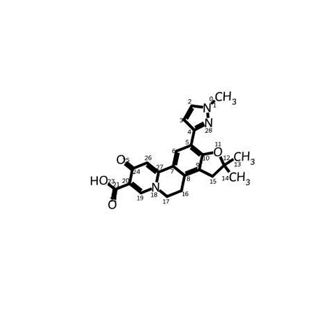 Cn1ccc(-c2cc3c(c4c2OC(C)(C)C4)CCn2cc(C(=O)O)c(=O)cc2-3)n1